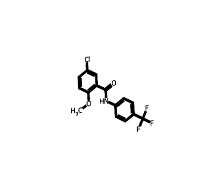 COc1ccc(Cl)cc1C(=O)Nc1ccc(C(F)(F)F)cc1